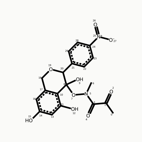 CC(=O)C(=O)N(C)OC1(O)c2c(O)cc(O)cc2COC1c1ccc([N+](=O)[O-])cc1